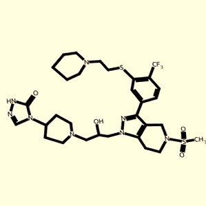 CS(=O)(=O)N1CCc2c(c(-c3ccc(C(F)(F)F)c(SCCN4CCCCC4)c3)nn2CC(O)CN2CCC(n3cn[nH]c3=O)CC2)C1